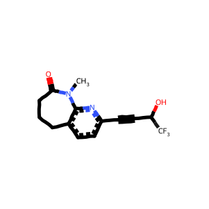 CN1C(=O)CCCc2ccc(C#CC(O)C(F)(F)F)nc21